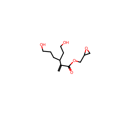 C=C(C(=O)OCC1CO1)C(CCO)CCCO